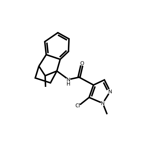 CC1C2CCC1(NC(=O)c1cnn(C)c1Cl)c1ccccc12